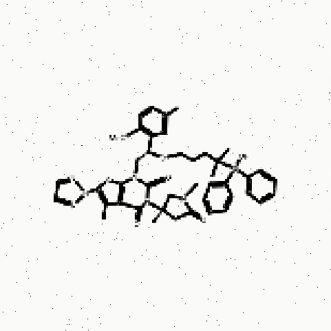 COc1ccc(F)cc1[C@H](Cn1c(=O)n([C@@]2(C)CC(=O)N(C)C2)c(=O)c2c(C)c(-n3nccn3)sc21)OCCCC(C)(C)[Si](O)(c1ccccc1)c1ccccc1